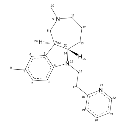 Cc1ccc2c(c1)[C@H]1CN(C)CCC[C@@H]1N2CCc1ccccn1